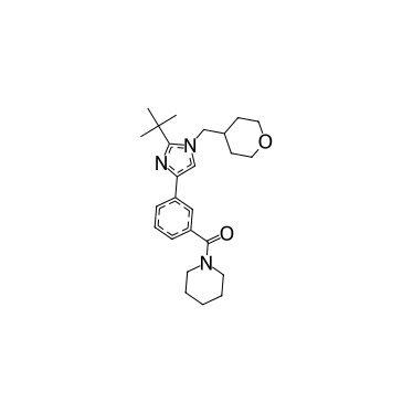 CC(C)(C)c1nc(-c2cccc(C(=O)N3CCCCC3)c2)cn1CC1CCOCC1